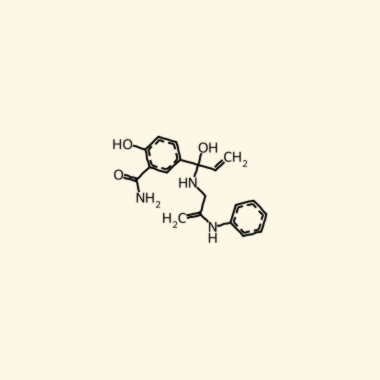 C=CC(O)(NCC(=C)Nc1ccccc1)c1ccc(O)c(C(N)=O)c1